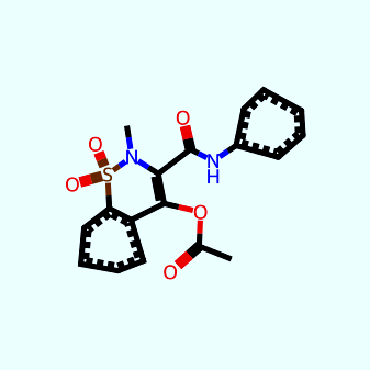 CC(=O)OC1=C(C(=O)Nc2ccccc2)N(C)S(=O)(=O)c2ccccc21